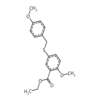 CCOC(=O)c1cc(SCc2ccc(OC)cc2)ccc1OC